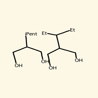 CCC(CC)C(CO)CO.CCCC(C)C(CO)CO